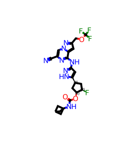 N#Cc1cn2nc(COC(F)(F)F)cc2c(Nc2cc([C@H]3C[C@@H](F)[C@@H](OC(=O)NC45CC(C4)C5)C3)[nH]n2)n1